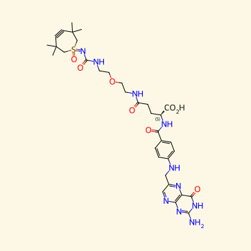 CC1(C)C#CC(C)(C)CS(=O)(=NC(=O)NCCOCCNC(=O)CC[C@H](NC(=O)c2ccc(NCc3cnc4nc(N)[nH]c(=O)c4n3)cc2)C(=O)O)C1